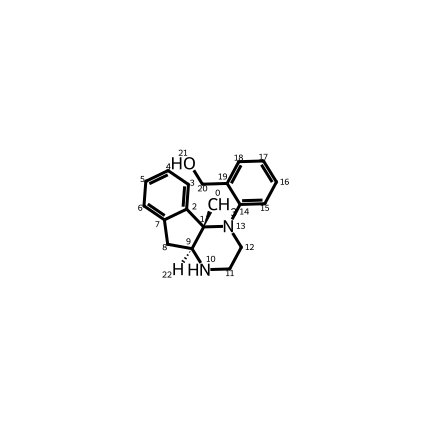 C[C@]12c3ccccc3C[C@@H]1NCCN2c1ccccc1CO